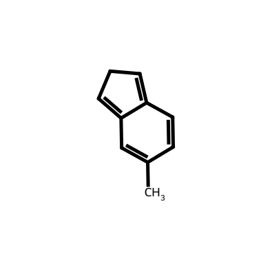 Cc1ccc2c(c1)=CCC=2